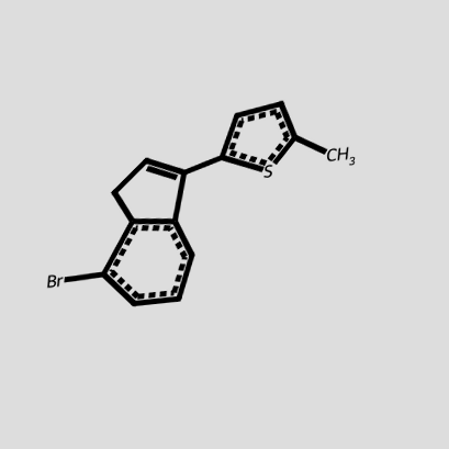 Cc1ccc(C2=CCc3c(Br)cccc32)s1